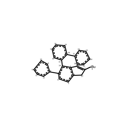 CCC(C)C1=Cc2c(ccc(-c3ccccc3)c2-c2ccccc2-c2ccccc2)[CH]1